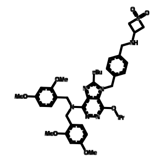 CCCCc1nc2c(N(Cc3ccc(OC)cc3OC)Cc3ccc(OC)cc3OC)nnc(OC(C)C)c2n1Cc1ccc(CNC2CS(=O)(=O)C2)cc1